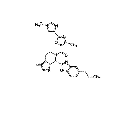 C=CCc1ccc2oc([C@@H]3c4nc[nH]c4CCN3C(=O)c3oc(-c4cn(C)cn4)nc3C(F)(F)F)nc2c1